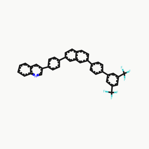 FC(F)(F)c1cc(-c2ccc(-c3ccc4ccc(-c5ccc(-c6cnc7ccccc7c6)cc5)cc4c3)cc2)cc(C(F)(F)F)c1